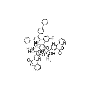 BC(O)(c1cc(-c2cc(F)ccc2-c2cnc(-c3ccccc3)cc2-c2ccc(-c3ccccc3)cc2)cc(C(B)(O)C(O)(O)c2cnc3c(c2)c(=O)oc2ncccc23)c1)C(O)(O)c1cnc2c(c1)c(=O)oc1ncccc12